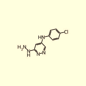 NNc1cc(Nc2ccc(Cl)cc2)cnn1